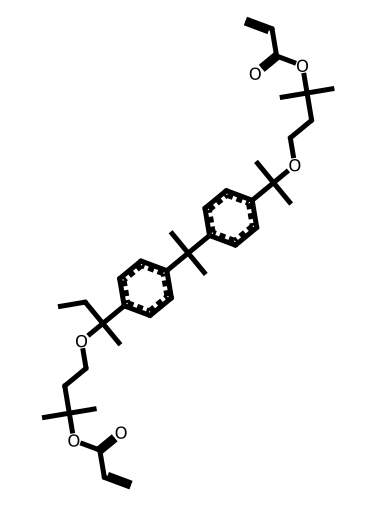 C=CC(=O)OC(C)(C)CCOC(C)(C)c1ccc(C(C)(C)c2ccc(C(C)(CC)OCCC(C)(C)OC(=O)C=C)cc2)cc1